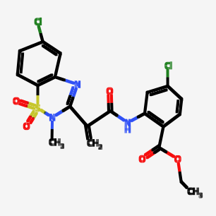 C=C(C(=O)Nc1cc(Cl)ccc1C(=O)OCC)C1=Nc2cc(Cl)ccc2S(=O)(=O)N1C